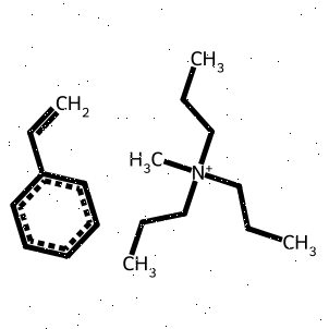 C=Cc1ccccc1.CCC[N+](C)(CCC)CCC